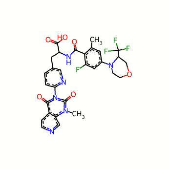 Cc1cc(N2CCOCC2C(F)(F)F)cc(F)c1C(=O)NC(Cc1ccc(-n2c(=O)c3ccncc3n(C)c2=O)nc1)C(=O)O